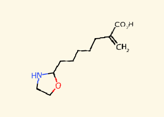 C=C(CCCCCC1NCCO1)C(=O)O